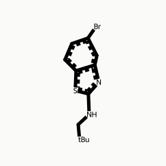 CC(C)(C)CNc1nc2cc(Br)ccc2s1